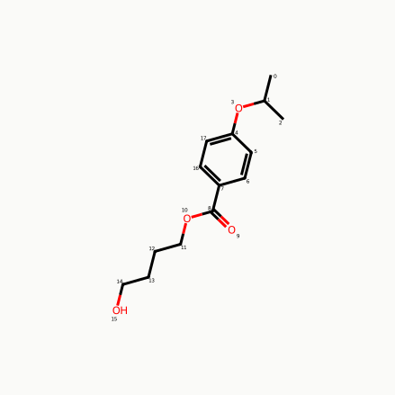 CC(C)Oc1ccc(C(=O)OCCCCO)cc1